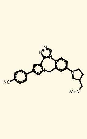 CNCC1CCN(c2ccc3c(c2)Cn2cc(-c4ccc(C#N)cc4)cc2-c2nncn2-3)C1